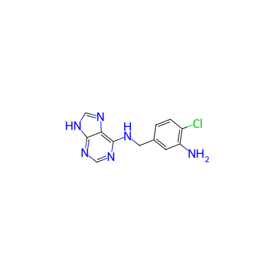 Nc1cc(CNc2ncnc3[nH]cnc23)ccc1Cl